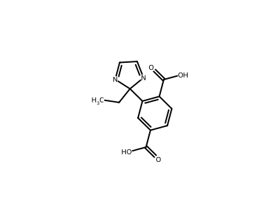 CCC1(c2cc(C(=O)O)ccc2C(=O)O)N=CC=N1